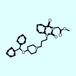 COC(=O)Cn1c(=O)c2ccccc2n(CCCN2CCC(OC(c3ccccc3)c3ccccc3)CC2)c1=O